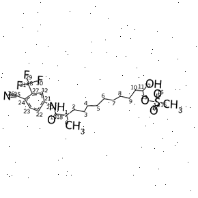 CC(CCCCCCCCCC(O)OS(C)(=O)=O)C(=O)Nc1ccc(C#N)c(C(F)(F)F)c1